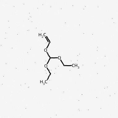 C=COC(OCC)OCC